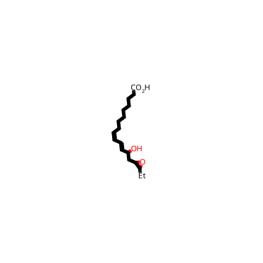 CCC1OC1CC(O)/C=C/C=C\CCCCCCCC(=O)O